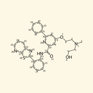 CN(CCO)CCOc1cc(C(=O)Nc2ccccc2-c2nc3cccnc3s2)nc(-c2ccccc2)c1